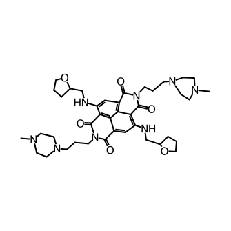 CN1CCN(CCCN2C(=O)c3cc(NCC4CCCO4)c4c5c(cc(NCC6CCCO6)c(c35)C2=O)C(=O)N(CCCN2CCN(C)CC2)C4=O)CC1